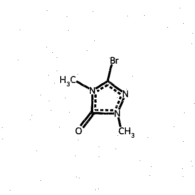 Cn1nc(Br)n(C)c1=O